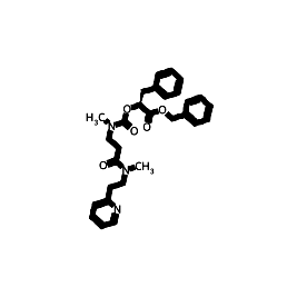 CN(CCc1ccccn1)C(=O)CCN(C)C(=O)O[C@@H](Cc1ccccc1)C(=O)OCc1ccccc1